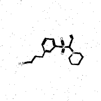 C=CC(N1CCCCC1)S(=O)(=O)c1cccc(CCCN)c1